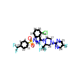 O=S(=O)(c1ccc(C(F)F)cc1)n1nc(N2CCN(c3ncc(F)cn3)CC2C(F)(F)F)c2c(Cl)cccc21